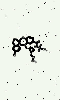 COC[C@@H]1CC[C@H]1CN1C[C@@]2(CCCc3cc(Cl)ccc32)COc2ccc(C(=O)NS(C)(=O)=O)cc21